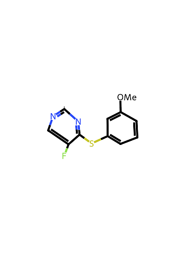 COc1cccc(Sc2n[c]ncc2F)c1